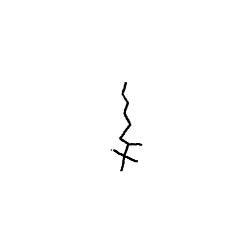 [CH2]C(C)(C)C(C)CCCCCC